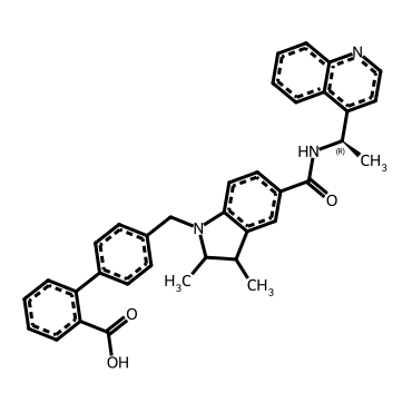 CC1c2cc(C(=O)N[C@H](C)c3ccnc4ccccc34)ccc2N(Cc2ccc(-c3ccccc3C(=O)O)cc2)C1C